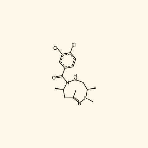 C/C1=N\N(C)[C@H](C)CNN(C(=O)c2ccc(Cl)c(Cl)c2)[C@H](C)C1